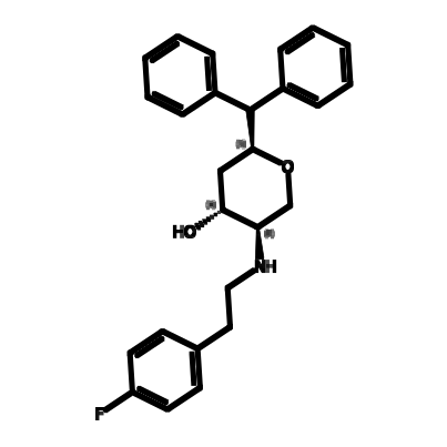 O[C@@H]1C[C@@H](C(c2ccccc2)c2ccccc2)OC[C@H]1NCCc1ccc(F)cc1